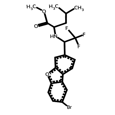 COC(=O)C(CC(C)C)NC(c1ccc2c(c1)oc1ccc(Br)cc12)C(F)(F)F